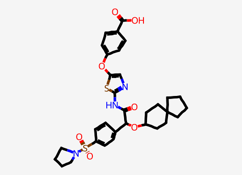 O=C(O)c1ccc(Oc2cnc(NC(=O)C(OC3CCC4(CCCC4)CC3)c3ccc(S(=O)(=O)N4CCCC4)cc3)s2)cc1